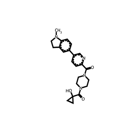 CN1CCc2cc(-c3ccc(C(=O)N4CCN(C(=O)C5(O)CC5)CC4)nc3)ccc21